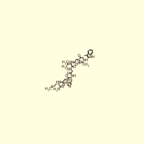 CSCC[C@H](NC(=O)CNC(=O)[C@H](Cc1cnc[nH]1)NC(=O)CNC(=O)[C@@H](NC(=O)CNC(=O)[C@H](Cc1c[nH]c2ccccc12)NC(C)=O)C(C)C)C(N)=O